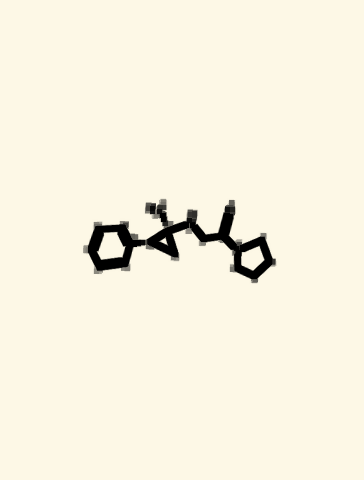 C[C@]1(NCC(=O)N2CCCC2)C[C@@H]1c1ccccc1